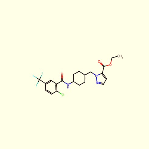 CCOC(=O)c1ccnn1CC1CCC(NC(=O)c2cc(C(F)(F)F)ccc2Cl)CC1